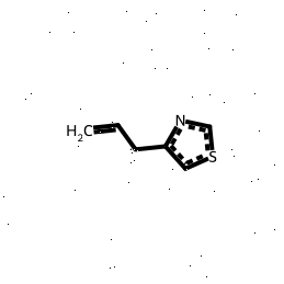 C=C[CH]c1cscn1